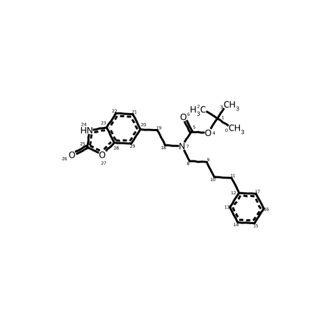 CC(C)(C)OC(=O)N(CCCCc1ccccc1)CCc1ccc2[nH]c(=O)oc2c1